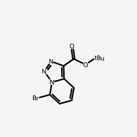 CC(C)(C)OC(=O)c1nnn2c(Br)cccc12